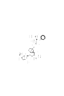 CC(CC(C)(C)N1CCC(F)(F)C1)C(C#N)C(=O)N1C2CCC1(COC(=O)N[C@@H](Cc1ccccc1)B(O)O)CC2